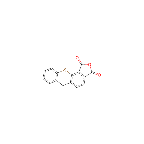 O=C1OC(=O)c2c1ccc1c2Sc2ccccc2C1